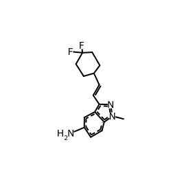 Cn1nc(/C=C/C2CCC(F)(F)CC2)c2cc(N)ccc21